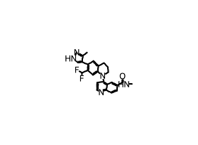 CNC(=O)c1ccc2nccc(N3CCCc4cc(-c5c[nH]nc5C)c(C(F)F)cc43)c2c1